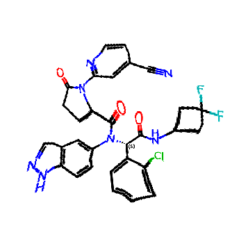 N#Cc1ccnc(N2C(=O)CCC2C(=O)N(c2ccc3[nH]ncc3c2)[C@H](C(=O)NC2CC(F)(F)C2)c2ccccc2Cl)c1